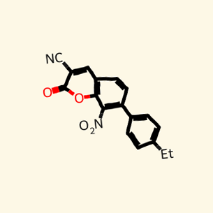 CCc1ccc(-c2ccc3cc(C#N)c(=O)oc3c2[N+](=O)[O-])cc1